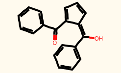 O=C(C1=CC=C/C1=C(\O)c1ccccc1)c1ccccc1